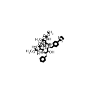 COC(=O)N[C@H](C(=O)N[C@@H](Cc1ccccc1)[C@@H](O)CN(Cc1ccc(-c2nccs2)cc1)NC(=O)[C@@H](NC(=O)OC)C(C)(C)C)C(C)(C)C